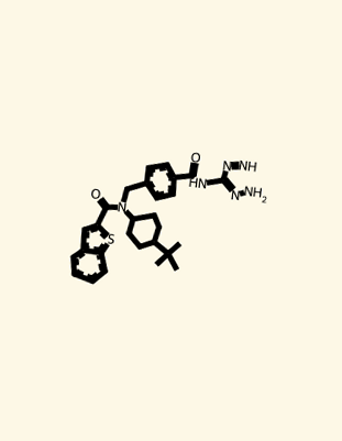 CC(C)(C)C1CCC(N(Cc2ccc(C(=O)N/C(N=N)=N/N)cc2)C(=O)c2cc3ccccc3s2)CC1